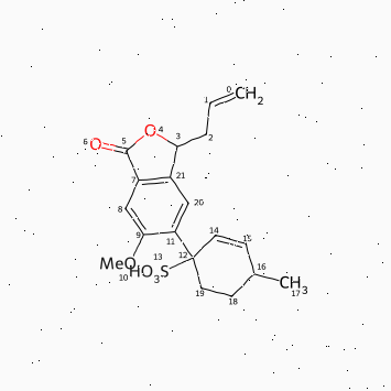 C=CCC1OC(=O)c2cc(OC)c(C3(S(=O)(=O)O)C=CC(C)CC3)cc21